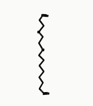 CNCCCCCCCOCCOCCOC